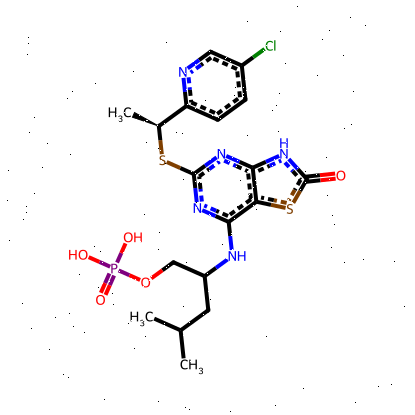 CC(C)CC(COP(=O)(O)O)Nc1nc(S[C@@H](C)c2ccc(Cl)cn2)nc2[nH]c(=O)sc12